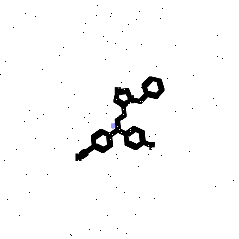 N#Cc1ccc(/C(=C/Cc2cncn2Cc2ccccc2)c2ccc(F)cc2)cc1